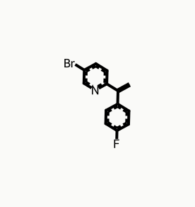 C=C(c1ccc(F)cc1)c1ccc(Br)cn1